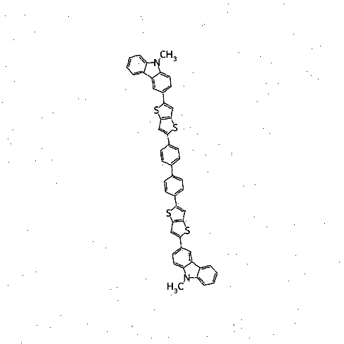 Cn1c2ccccc2c2cc(-c3cc4sc(-c5ccc(-c6ccc(-c7cc8sc(-c9ccc%10c(c9)c9ccccc9n%10C)cc8s7)cc6)cc5)cc4s3)ccc21